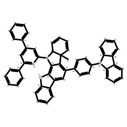 CC12C=CC=CC1N(c1cc(-c3ccccc3)cc(-c3ccccc3)n1)c1c2c(-c2ccc(-n3c4ccccc4c4ccccc43)cc2)cc2c1oc1ccccc12